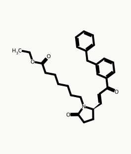 CCOC(=O)CCCCCCN1C(=O)CC[C@@H]1C=CC(=O)c1cccc(Cc2ccccc2)c1